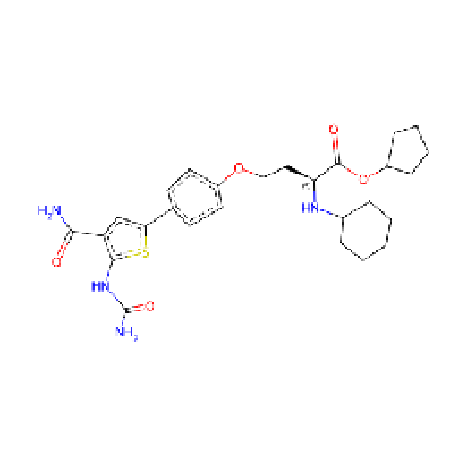 NC(=O)Nc1sc(-c2ccc(OCC[C@H](NC3CCCCC3)C(=O)OC3CCCC3)cc2)cc1C(N)=O